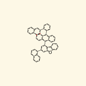 c1ccc(-c2c3ccccc3c(-c3cc(-c4cccc5ccccc45)cc4oc5ccccc5c34)c3ccccc23)c(-c2ccc3ccccc3c2)c1